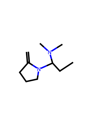 C=C1CCCN1C(CC)N(C)C